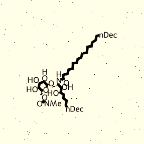 CCCCCCCCCCCCCCCCCCCCCCCCCC(=O)N[C@@H](CO[C@H]1O[C@H](COC(=O)NC)[C@H](O)[C@H](O)[C@H]1O)[C@H](O)[C@H](O)CCCCCCCCCCCCCC